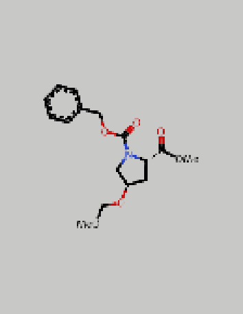 COCO[C@@H]1C[C@@H](C(=O)OC)N(C(=O)OCc2ccccc2)C1